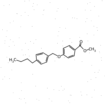 CCCCc1ccc(COc2ccc(C(=O)OC)cc2)cc1